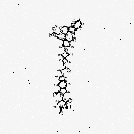 C[C@@H]1Cc2c([nH]c3ccccc23)[C@@H](c2c(F)cc(N3CC4(CN(C(=O)CN5Cc6cc7c(cc6C5)C(=O)N(C5CCC(=O)NC5=O)C7)C4)C3)cc2F)N1CC(F)F